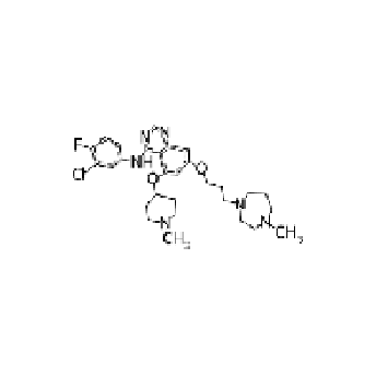 CN1CCC(Oc2cc(OCCCN3CCCN(C)CC3)cc3ncnc(Nc4ccc(F)c(Cl)c4)c23)CC1